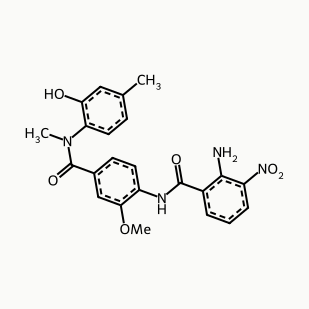 COc1cc(C(=O)N(C)c2ccc(C)cc2O)ccc1NC(=O)c1cccc([N+](=O)[O-])c1N